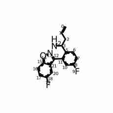 C=CCC(N)c1ccc(F)cc1-c1noc2ccc(F)cc12